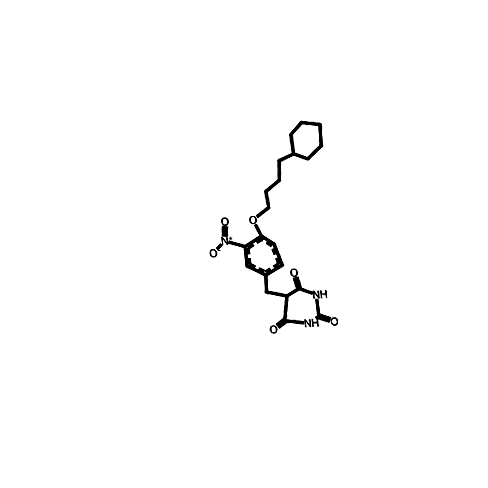 O=C1NC(=O)C(Cc2ccc(OCCCCC3CCCCC3)c([N+](=O)[O-])c2)C(=O)N1